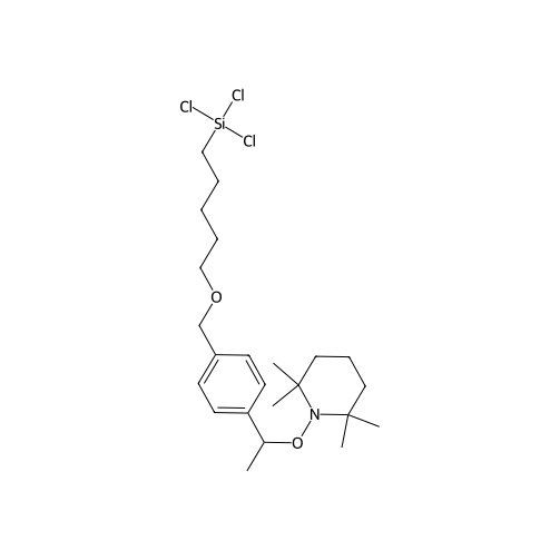 CC(ON1C(C)(C)CCCC1(C)C)c1ccc(COCCCCC[Si](Cl)(Cl)Cl)cc1